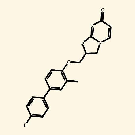 Cc1cc(-c2ccc(F)cc2)ccc1OCC1Cn2ccc(=O)nc2O1